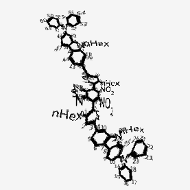 CCCCCCc1cc(-c2ccc3c4ccc(N(c5ccccc5)c5ccccc5)cc4n(CCCCCC)c3c2)sc1-c1c([N+](=O)[O-])c([N+](=O)[O-])c(-c2sc(-c3ccc4c5ccc(N(c6ccccc6)c6ccccc6)cc5n(CCCCCC)c4c3)cc2CCCCCC)c2nsnc12